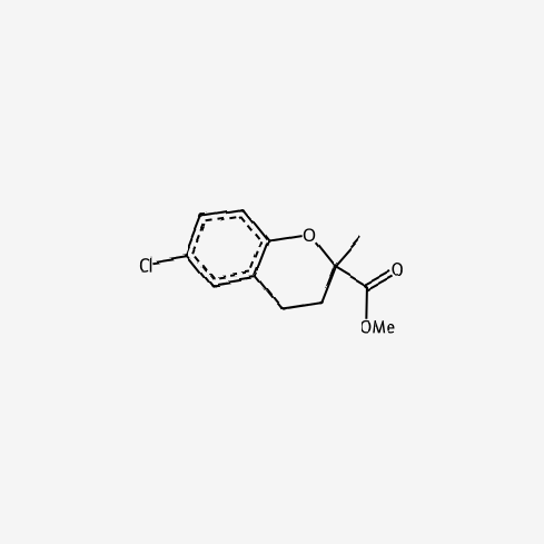 COC(=O)C1(C)CCc2cc(Cl)ccc2O1